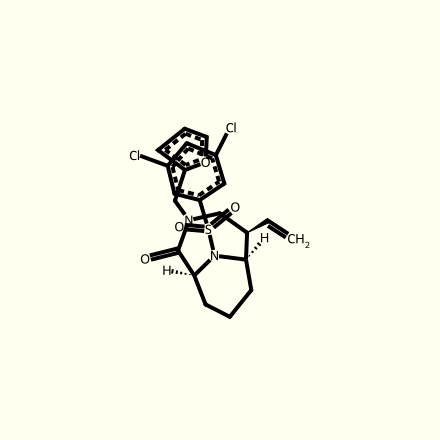 C=C[C@@H]1CN(Cc2ccco2)C(=O)[C@@H]2CCC[C@H]1N2S(=O)(=O)c1cc(Cl)cc(Cl)c1